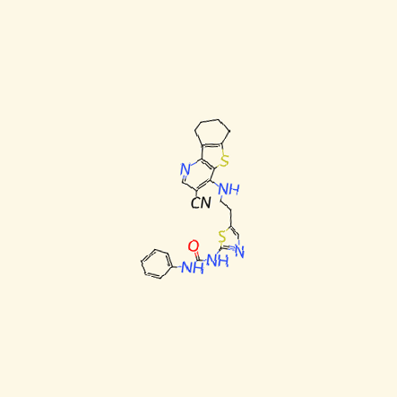 N#Cc1cnc2c3c(sc2c1NCCc1cnc(NC(=O)Nc2ccccc2)s1)CCCC3